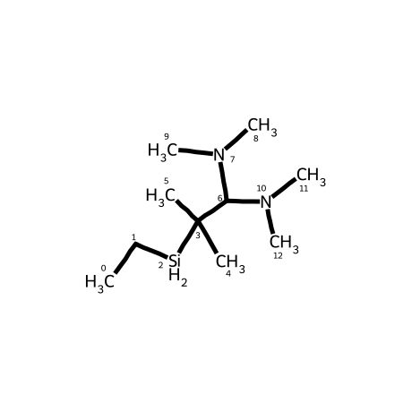 CC[SiH2]C(C)(C)C(N(C)C)N(C)C